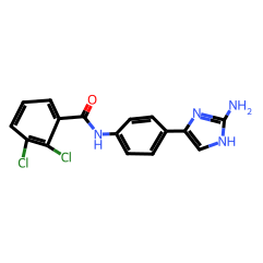 Nc1nc(-c2ccc(NC(=O)c3cccc(Cl)c3Cl)cc2)c[nH]1